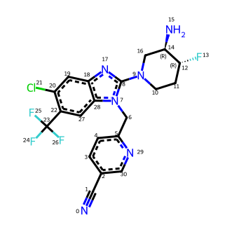 N#Cc1ccc(Cn2c(N3CC[C@@H](F)[C@H](N)C3)nc3cc(Cl)c(C(F)(F)F)cc32)nc1